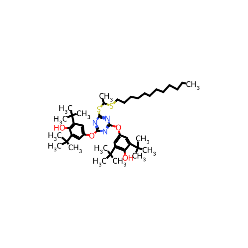 CCCCCCCCCCCCSC(C)Sc1nc(Oc2cc(C(C)(C)C)c(O)c(C(C)(C)C)c2)nc(Oc2cc(C(C)(C)C)c(O)c(C(C)(C)C)c2)n1